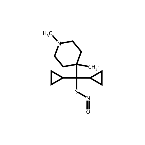 [CH2]C1(C(SN=O)(C2CC2)C2CC2)CCN(C)CC1